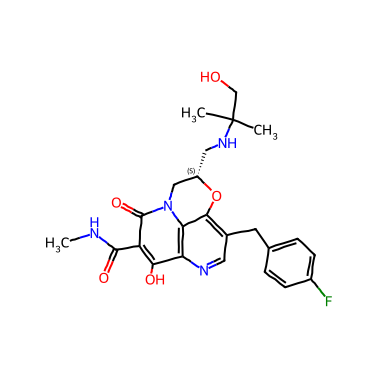 CNC(=O)c1c(O)c2ncc(Cc3ccc(F)cc3)c3c2n(c1=O)C[C@H](CNC(C)(C)CO)O3